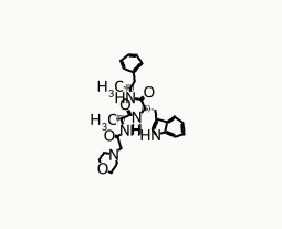 C[C@H](Cc1ccccc1)NC(=O)[C@H](Cc1c[nH]c2ccccc12)NC(=O)[C@@H](C)NC(=O)CN1CCOCC1